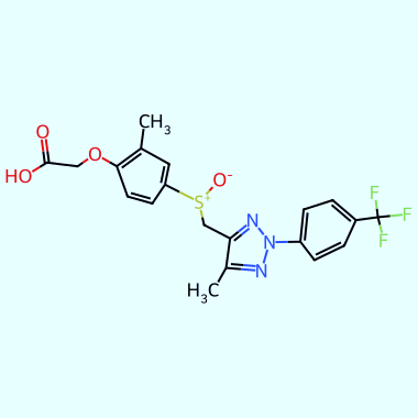 Cc1cc([S+]([O-])Cc2nn(-c3ccc(C(F)(F)F)cc3)nc2C)ccc1OCC(=O)O